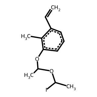 C=Cc1cccc(OC(C)OC(C)I)c1C